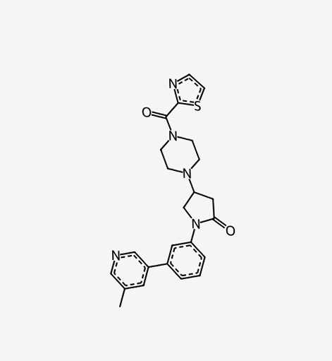 Cc1cncc(-c2cccc(N3CC(N4CCN(C(=O)c5nccs5)CC4)CC3=O)c2)c1